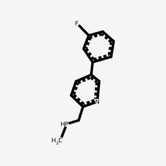 CPCc1ccc(-c2cccc(F)c2)cn1